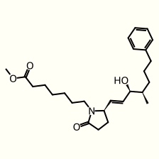 COC(=O)CCCCCCN1C(=O)CC[C@@H]1/C=C/[C@@H](O)[C@H](C)CCCc1ccccc1